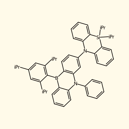 CC(C)c1cc(C(C)C)c(B2c3ccccc3N(c3ccccc3)c3cc(N4c5ccccc5[Si](C(C)C)(C(C)C)c5ccccc54)ccc32)c(C(C)C)c1